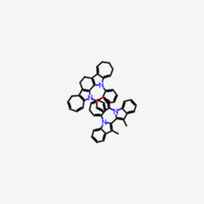 Cc1c(-c2c(C)c3ccccc3n2C2=CCC(n3c4c(c5c3-c3c(c6c(n3-c3ccccc3)=CCCCC=6)CC5)CC=CC=C4)C=C2)n(C2=CCC=CC=C2)c2ccccc12